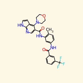 Cc1ccc(NC(=O)c2cccc(C(F)(F)F)c2)cc1NC(=O)c1cnc2[nH]ccc2c1N1CCOCC1